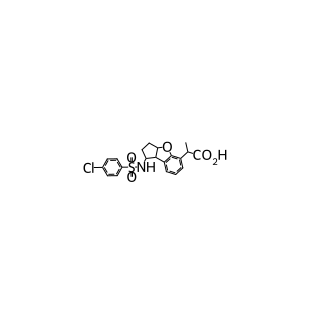 CC(C(=O)O)c1cccc2c1OC1CCC(NS(=O)(=O)c3ccc(Cl)cc3)C21